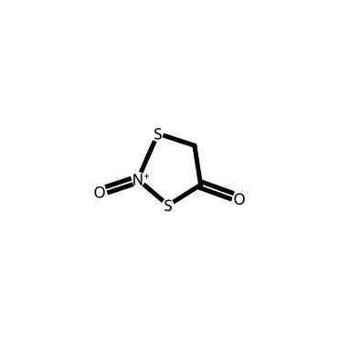 O=C1CS[N+](=O)S1